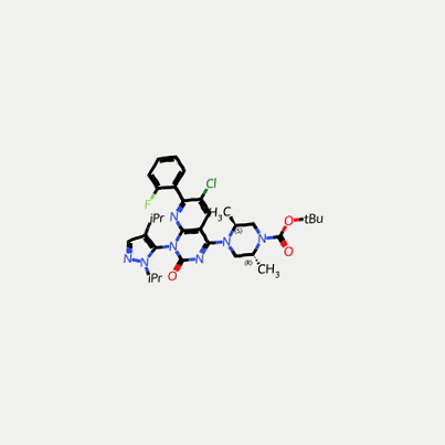 CC(C)c1cnn(C(C)C)c1-n1c(=O)nc(N2C[C@@H](C)N(C(=O)OC(C)(C)C)C[C@@H]2C)c2cc(Cl)c(-c3ccccc3F)nc21